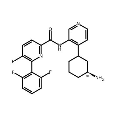 N[C@H]1CCCC(c2ccncc2NC(=O)c2ccc(F)c(-c3c(F)cccc3F)n2)C1